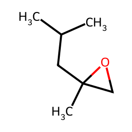 CC(C)CC1(C)CO1